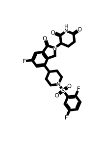 O=C1CCC(N2Cc3c(cc(F)cc3C3CCN(S(=O)(=O)c4cc(F)ccc4F)CC3)C2=O)C(=O)N1